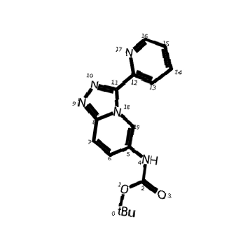 CC(C)(C)OC(=O)Nc1ccc2nnc(-c3ccccn3)n2c1